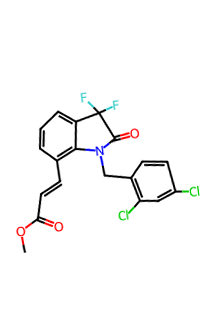 COC(=O)/C=C/c1cccc2c1N(Cc1ccc(Cl)cc1Cl)C(=O)C2(F)F